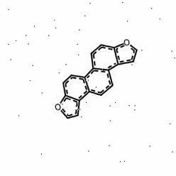 c1cc2c(ccc3c2ccc2c4ccoc4ccc23)o1